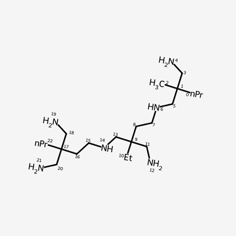 CCCC(C)(CN)CNCCC(CC)(CN)CNCCC(CN)(CN)CCC